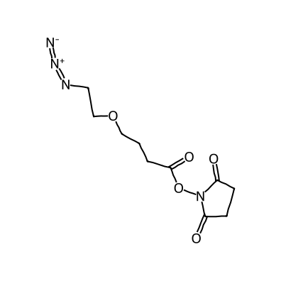 [N-]=[N+]=NCCOCCCC(=O)ON1C(=O)CCC1=O